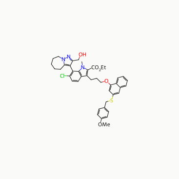 CCOC(=O)c1c(CCCOc2cc(SCc3ccc(OC)cc3)cc3ccccc23)c2ccc(Cl)c(-c3c(CO)nn4c3CCCCC4)c2n1C